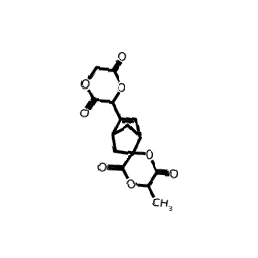 CC1OC(=O)C2(CC3CC2C=C3C2OC(=O)COC2=O)OC1=O